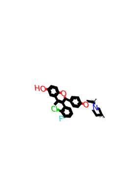 CC1=C(c2cccc(F)c2Cl)C(c2ccc(OC[C@H](C)N3CC[C@@H](C)C3)cc2)Oc2ccc(O)cc21